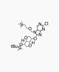 CC(C)(C)[Si](C)(C)OC1CO[C@H]2[C@@H]1OC[C@H]2Oc1nc2nc(Cl)ncc2n1COCC[Si](C)(C)C